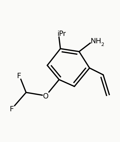 C=Cc1cc(OC(F)F)cc(C(C)C)c1N